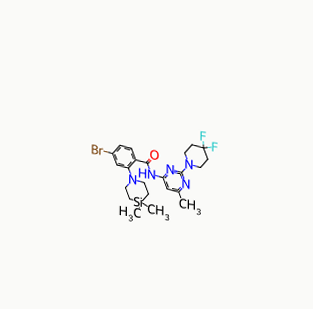 Cc1cc(NC(=O)c2ccc(Br)cc2N2CC[Si](C)(C)CC2)nc(N2CCC(F)(F)CC2)n1